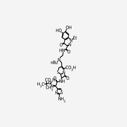 CCCCN(CCNC(=O)c1nn(CC)c2cc(O)c(O)cc2c1=O)CC1=C(C(=O)O)N2C(=O)C(NC(=O)/C(=N\OC(C)(C)C(=O)O)c3csc(N)n3)C2SC1